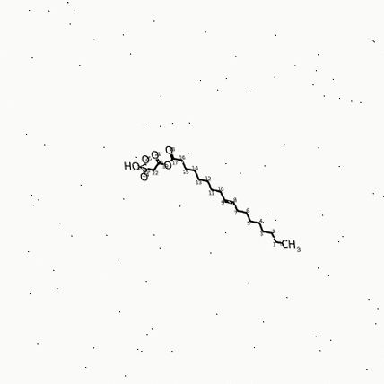 CCCCCCCCC=CCCCCCCCC(=O)OC(=O)CS(=O)(=O)O